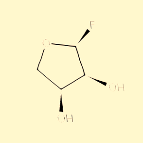 O[C@@H]1[C@H](F)OC[C@@H]1O